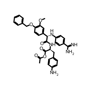 COc1cc([C@H](Nc2ccc(C(=N)N)cc2)C(=O)N[C@@H](Cc2ccc(N)cc2)C(=O)OC(C)=O)ccc1OCc1ccccc1